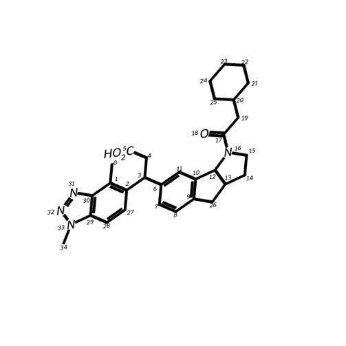 Cc1c(C(CC(=O)O)c2ccc3c(c2)C2C(CCN2C(=O)CC2CCCCC2)C3)ccc2c1nnn2C